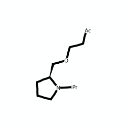 CC(=O)CCOC[C@@H]1CCCN1C(C)C